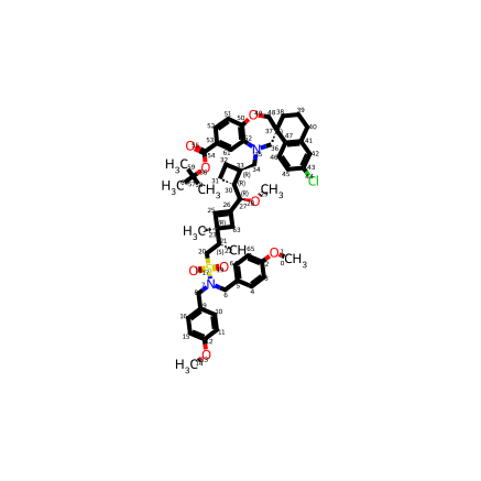 COc1ccc(CN(Cc2ccc(OC)cc2)S(=O)(=O)C[C@@H](C)[C@@]2(C)C=C([C@H](OC)[C@@H]3CC[C@H]3CN3C[C@@]4(CCCc5cc(Cl)ccc54)COc4ccc(C(=O)OC(C)(C)C)cc43)C2)cc1